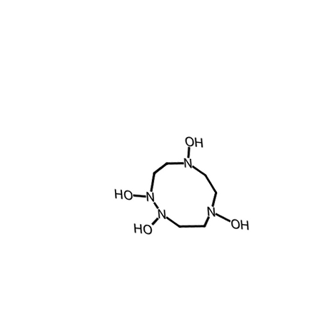 ON1CCN(O)CCN(O)N(O)CC1